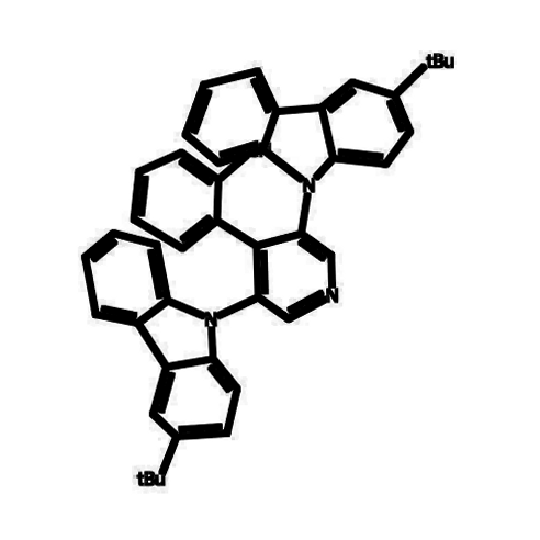 CC(C)(C)c1ccc2c(c1)c1ccccc1n2-c1cncc(-n2c3ccccc3c3cc(C(C)(C)C)ccc32)c1-c1ccccc1C#N